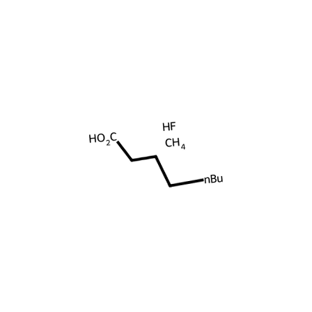 C.CCCCCCCC(=O)O.F